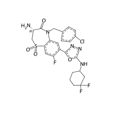 N[C@H]1CS(=O)(=O)c2cc(F)c(-c3nnc(NC4CCCC(F)(F)C4)o3)cc2N(Cc2ccc(Cl)cc2)C1=O